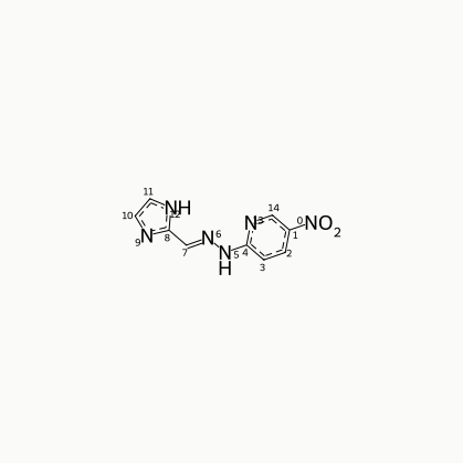 O=[N+]([O-])c1ccc(N/N=C/c2ncc[nH]2)nc1